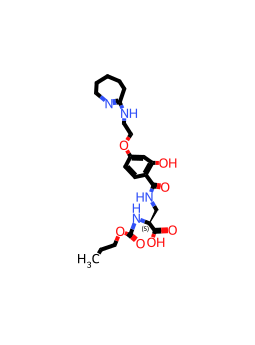 CCCOC(=O)N[C@@H](CNC(=O)c1ccc(OCCNC2=NCCCCC2)cc1O)C(=O)O